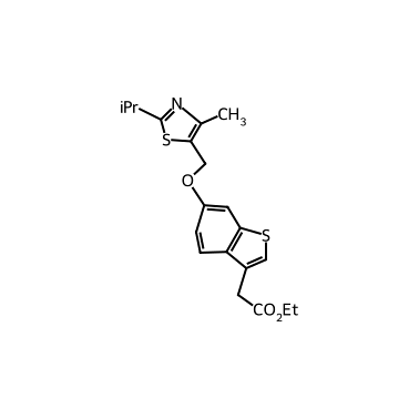 CCOC(=O)Cc1csc2cc(OCc3sc(C(C)C)nc3C)ccc12